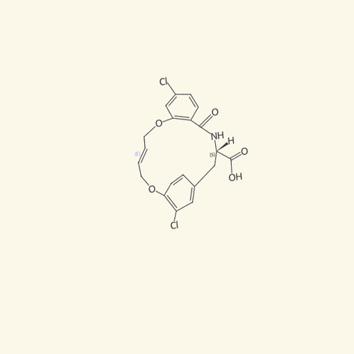 O=C1N[C@H](C(=O)O)Cc2ccc(c(Cl)c2)OC/C=C/COc2cc(Cl)ccc21